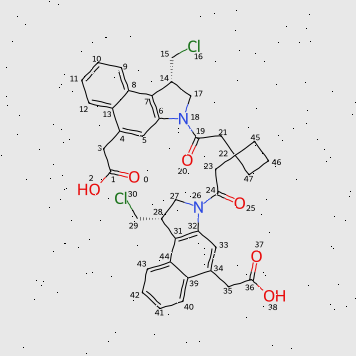 O=C(O)Cc1cc2c(c3ccccc13)[C@H](CCl)CN2C(=O)CC1(CC(=O)N2C[C@@H](CCl)c3c2cc(CC(=O)O)c2ccccc32)CCC1